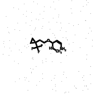 CNC(/C=C\N)OCCC1(C(F)(F)F)CC1